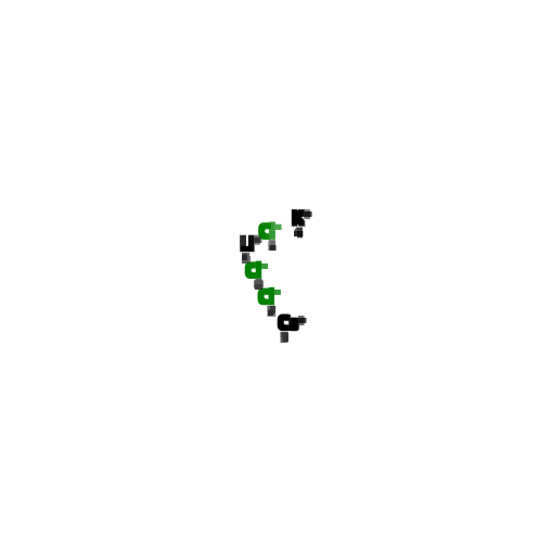 [Cl-].[Cl-].[Cl-].[Cs+].[K+].[Li+]